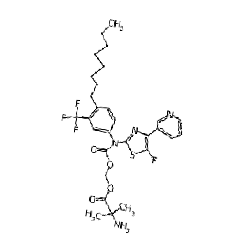 CCCCCCCCc1ccc(N(C(=O)OCOC(=O)C(C)(C)N)c2nc(-c3cccnc3)c(F)s2)cc1C(F)(F)F